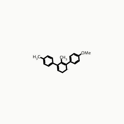 COc1ccc(C2=C(C)C(c3ccc(C)cc3)=CC[CH]2)cc1